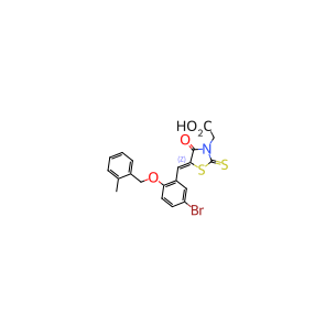 Cc1ccccc1COc1ccc(Br)cc1/C=C1\SC(=S)N(CC(=O)O)C1=O